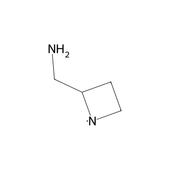 NCC1CC[N]1